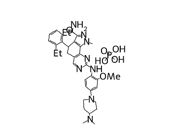 CCc1cccc(CC)c1C1Cc2cnc(Nc3ccc(N4CCC(N(C)C)CC4)cc3OC)nc2-c2c1c(C(N)=O)nn2C.O=P(O)(O)O